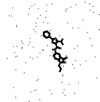 CCCn1[nH]c(=O)c2cc(NC(=O)c3nc(-c4ccccc4)oc3C(C)C)ccc21